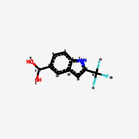 OB(O)c1ccc2[nH]c(C(F)(F)F)cc2c1